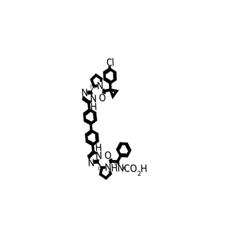 O=C(O)N[C@@H](C(=O)N1CCC[C@H]1c1ncc(-c2ccc(-c3ccc(-c4cnc([C@@H]5CCCN5C(=O)C5(c6ccc(Cl)cc6)CC5)[nH]4)cc3)cc2)[nH]1)c1ccccc1